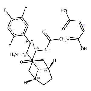 CC(=O)N[C@@H](C)C(=O)N1[C@@H]2CC[C@H]1C[C@H]([C@H](N)Cc1cc(F)c(F)cc1F)C2.O=C(O)/C=C\C(=O)O